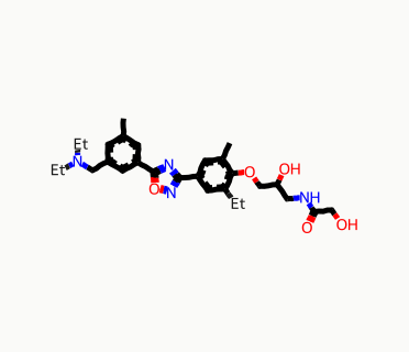 CCc1cc(-c2noc(-c3cc(C)cc(CN(CC)CC)c3)n2)cc(C)c1OCC(O)CNC(=O)CO